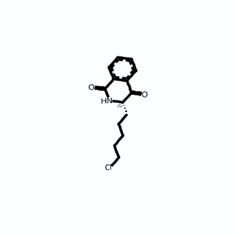 O=C1N[C@@H](CCCCCCl)C(=O)c2ccccc21